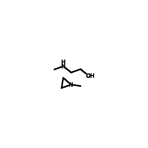 CN1CC1.CNCCO